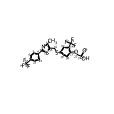 Cc1nc(-c2ccc(C(F)(F)F)cc2)sc1CSc1ccc(OCC(=O)O)c(C(F)(F)F)c1